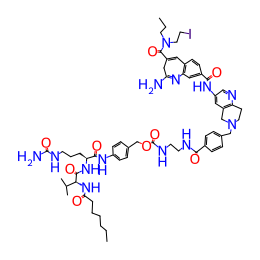 CCCCCCC(=O)N[C@H](C(=O)N[C@@H](CCCNC(N)=O)C(=O)Nc1ccc(COC(=O)NCCNC(=O)c2ccc(CN3CCc4ncc(NC(=O)c5ccc6c(c5)N=C(N)CC(C(=O)N(CCC)CCI)=C6)cc4C3)cc2)cc1)C(C)C